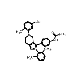 COc1cccc(C)c1-n1nc2c(c1-c1ccc(NC(N)=O)cc1)CN(c1cc(C(C)(C)C)ccc1C)CC2